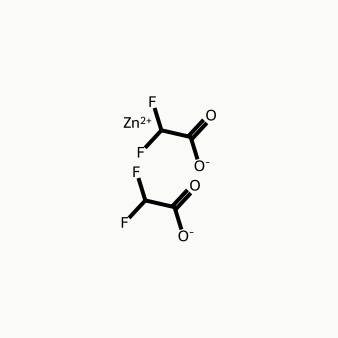 O=C([O-])C(F)F.O=C([O-])C(F)F.[Zn+2]